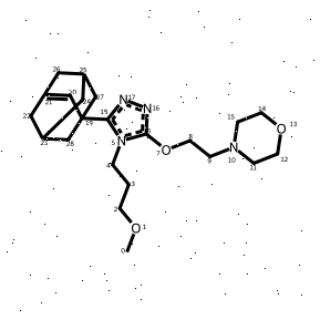 COCCCn1c(OCCN2CCOCC2)nnc1C12C=C3CC(CC(C3)C1)C2